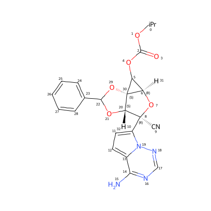 CC(C)OC(=O)OC1[C@H]2O[C@@](C#N)(c3ccc4c(N)ncnn34)[C@@H]3OC(c4ccccc4)O[C@]123